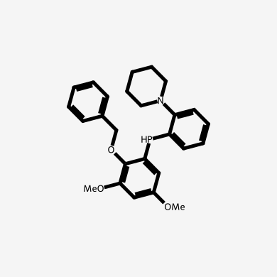 COc1cc(OC)c(OCc2ccccc2)c(Pc2ccccc2N2CCCCC2)c1